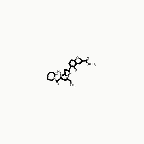 CCc1cc(C(=O)N2CCCCC[C@H]2C)nc2cc(-c3ccc4c(c3F)C=C(C(=O)OC)CO4)nn12